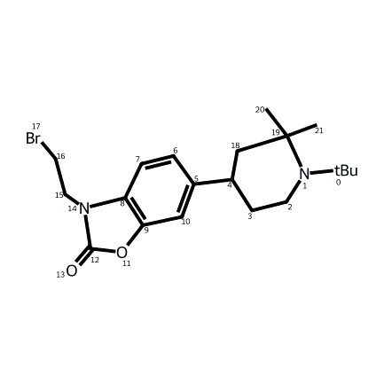 CC(C)(C)N1CCC(c2ccc3c(c2)oc(=O)n3CCBr)CC1(C)C